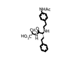 CC(=O)Nc1ccc(CCN[C@H](CCc2ccccc2)C(=O)N[C@@H](C)C(=O)O)cc1